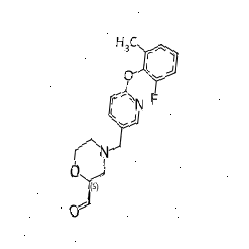 Cc1cccc(F)c1Oc1ccc(CN2CCO[C@H](C=O)C2)cn1